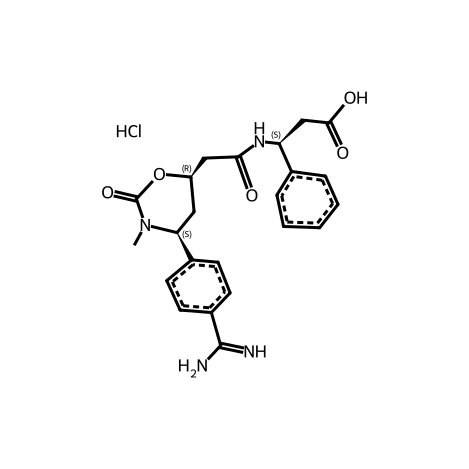 CN1C(=O)O[C@@H](CC(=O)N[C@@H](CC(=O)O)c2ccccc2)C[C@H]1c1ccc(C(=N)N)cc1.Cl